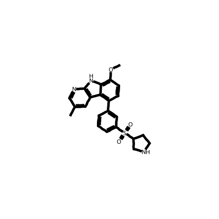 COc1ccc(-c2cccc(S(=O)(=O)C3CCNC3)c2)c2c1[nH]c1ncc(C)cc12